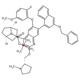 COc1ccc(F)c(Oc2cc3c(N4C[C@H]5CC[C@@H](C4)N5C(=O)OC(C)(C)C)nc(OC[C@@H]4CCCN4C)nc3cc2-c2cc(OCc3ccccc3)cc3ccccc23)c1